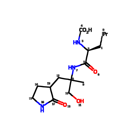 CC(C)C[C@H](NC(=O)O)C(=O)NC(C)(CO)CC1CCNC1=O